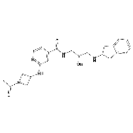 CC(=O)N1CC(Nc2cc(C(=O)NCC(O)CNC3Cc4ccccc4C3)ccn2)C1